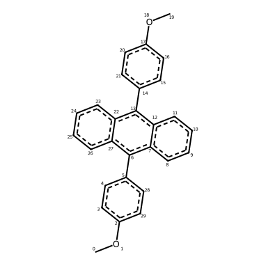 COc1ccc(-c2c3ccccc3c(-c3ccc(OC)cc3)c3ccccc23)cc1